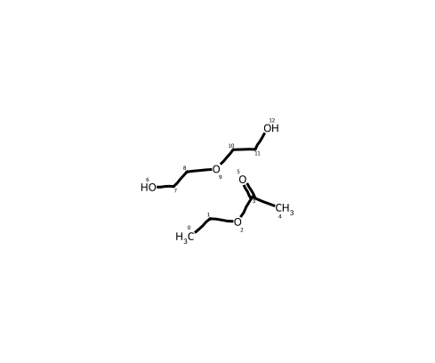 CCOC(C)=O.OCCOCCO